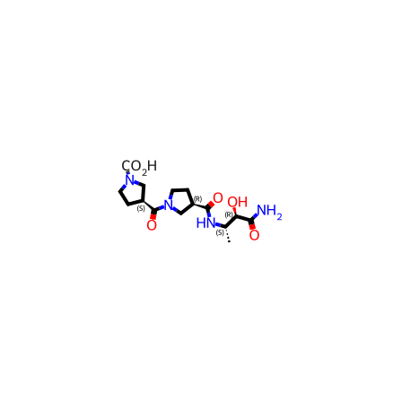 C[C@H](NC(=O)[C@@H]1CCN(C(=O)[C@H]2CCN(C(=O)O)C2)C1)[C@@H](O)C(N)=O